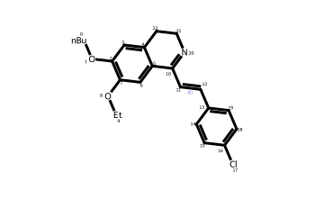 CCCCOc1cc2c(cc1OCC)C(/C=C/c1ccc(Cl)cc1)=NCC2